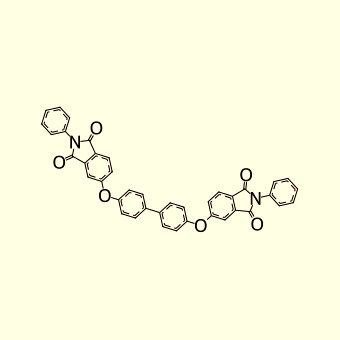 O=C1c2ccc(Oc3ccc(-c4ccc(Oc5ccc6c(c5)C(=O)N(c5ccccc5)C6=O)cc4)cc3)cc2C(=O)N1c1ccccc1